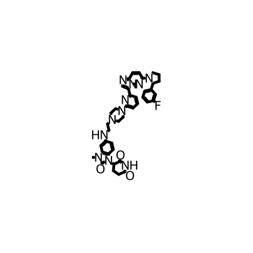 Cn1c(=O)n(C2CCC(=O)NC2=O)c2ccc(NCCN3CCN(c4cccc(-c5cnc6ccc(N7CCCC7c7cccc(F)c7)nn56)n4)CC3)cc21